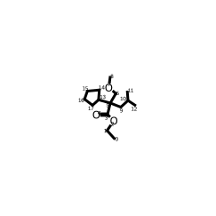 CCOC(=O)C(COC)(CC(C)C)C1CCCC1